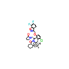 CC1(C(=O)O)CCCCC1C(=O)N1CCc2c(Cl)ccc(OCc3noc4c(F)c(F)ccc34)c2[C@H]1CN1CCCC1=O